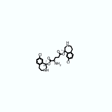 C[C@]1(OC(=O)CC[C@@H](N)C(=O)O[C@@]2(C)CNCCc3ccc(Cl)cc32)CNCCc2ccc(Cl)cc21